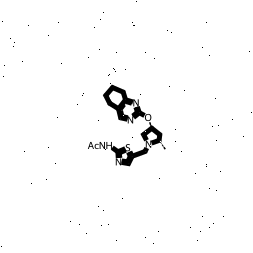 CC(=O)Nc1ncc(CN2C[C@H](Oc3ncc4c(n3)CCCC4)C[C@@H]2C)s1